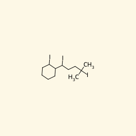 CC(C)(I)CCC(I)C1CCCCC1I